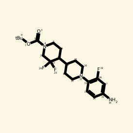 CC(C)(C)OC(=O)N1CCC(C2CCN(c3ccc(N)cc3F)CC2)C(F)(F)C1